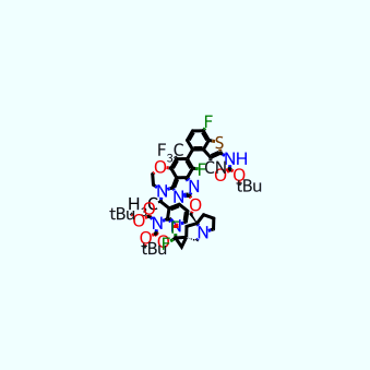 C[C@H](c1cccnc1N(C(=O)OC(C)(C)C)C(=O)OC(C)(C)C)N1CCOc2c(C(F)(F)F)c(-c3ccc(F)c4sc(NC(=O)OC(C)(C)C)c(C#N)c34)c(F)c3nc(OC[C@@]45CCCN4C[C@@]4(CC4(F)F)C5)nc1c23